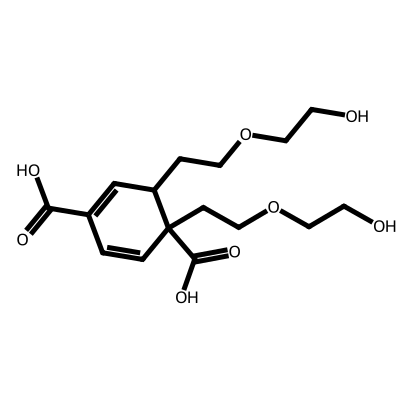 O=C(O)C1=CC(CCOCCO)C(CCOCCO)(C(=O)O)C=C1